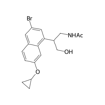 CC(=O)NCC(CO)c1cc(Br)cc2ccc(OC3CC3)cc12